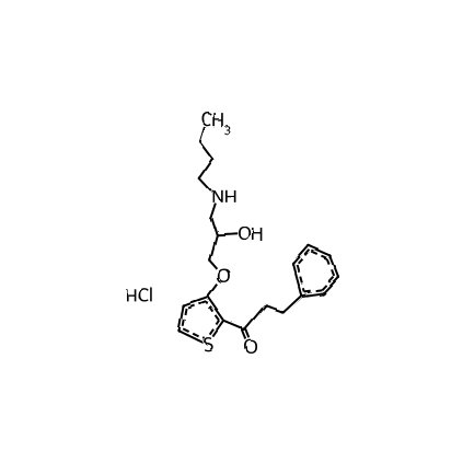 CCCCNCC(O)COc1ccsc1C(=O)CCc1ccccc1.Cl